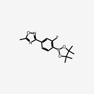 Cc1nc(-c2ccc(B3OC(C)(C)C(C)(C)O3)c(F)c2)no1